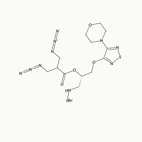 CC(C)(C)NC[C@@H](COc1nsnc1N1CCOCC1)OC(=O)C(CN=[N+]=[N-])CN=[N+]=[N-]